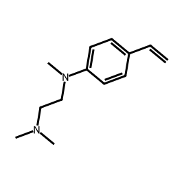 C=Cc1ccc(N(C)CCN(C)C)cc1